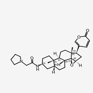 C[C@]12CC[C@H](NC(=O)CN3CCCC3)C[C@H]1CC[C@@H]1[C@@H]2CC[C@]2(C)[C@@H](c3ccc(=O)oc3)C[C@H]3O[C@]132